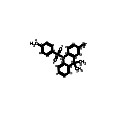 Cc1ccc(S(=O)(=O)N2c3ccccc3C(C)(C)c3cc(Br)ccc32)cc1